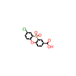 O=C(O)c1ccc2c(c1)S(=O)(=O)c1cc(Cl)ccc1O2